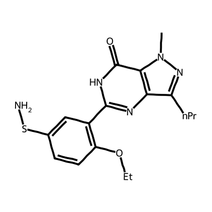 CCCc1nn(C)c2c(=O)[nH]c(-c3cc(SN)ccc3OCC)nc12